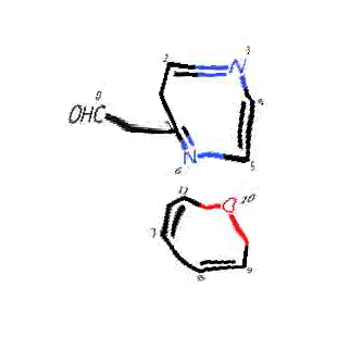 O=Cc1cnccn1.c1ccoc1